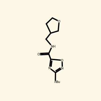 CCCCc1noc(C(=O)NCC2CCOC2)n1